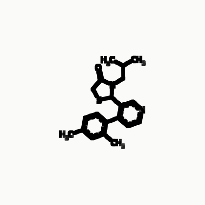 Cc1ccc(-c2ccncc2C2SCC(=O)N2CC(C)C)c(C)c1